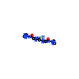 O=C(NCCN1CCCN2CCCN=C21)c1ccc2nc(-c3ccc(-c4nc5ccc(C(=O)NCCN6CCCN7CCCN=C76)cc5[nH]4)c(F)c3)[nH]c2c1